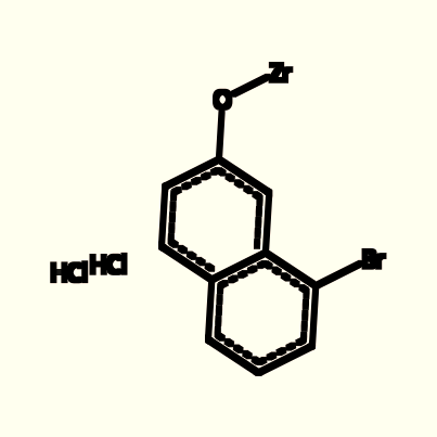 Brc1cccc2ccc([O][Zr])cc12.Cl.Cl